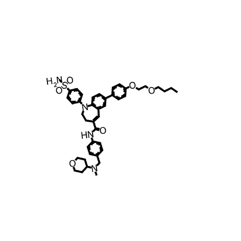 CCCCOCCOc1ccc(-c2ccc3c(c2)C=C(C(=O)Nc2ccc(CN(C)C4CCOCC4)cc2)CCN3c2ccc(S(N)(=O)=O)cc2)cc1